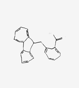 O=C(S)c1ccccc1CC1c2ccccc2-c2ccccc21